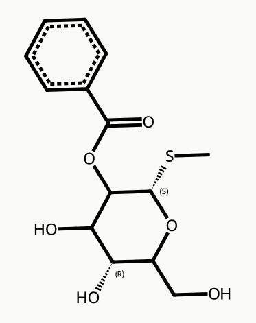 CS[C@@H]1OC(CO)[C@H](O)C(O)C1OC(=O)c1ccccc1